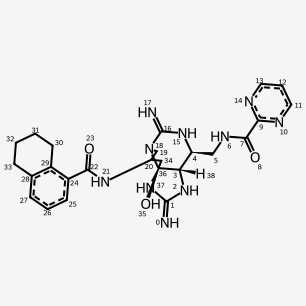 N=C1N[C@H]2[C@H](CNC(=O)c3ncccn3)NC(=N)N3CC(NC(=O)c4cccc5c4CCCC5)[C@@H](O)[C@]23N1